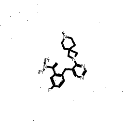 C=C(c1cc(F)ccc1Cc1cncnc1N1CC2(CCN(C)CC2)C1)N(C(C)C)C(C)C